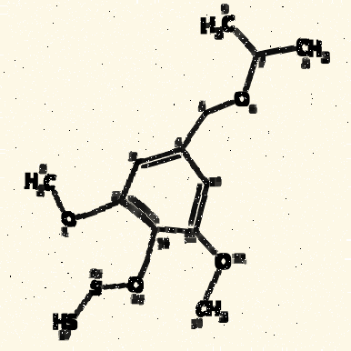 COc1cc(COC(C)C)cc(OC)c1OSS